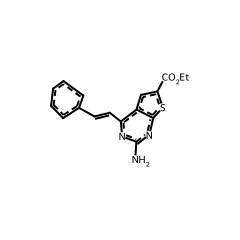 CCOC(=O)c1cc2c(/C=C/c3ccccc3)nc(N)nc2s1